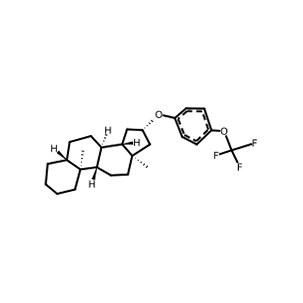 C[C@]12CC[C@H]3[C@@H](CC[C@H]4CCCC[C@@]43C)[C@@H]1C[C@H](Oc1ccc(OC(F)(F)F)cc1)C2